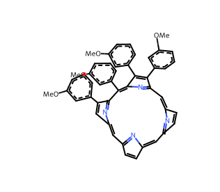 COc1cccc(C2=CC3=CC4=NC(=CC5=NC(=CC6=NC(=C(c7cccc(OC)c7)C2=N3)C(c2cccc(OC)c2)=C6c2cccc(OC)c2)C=C5)C=C4)c1